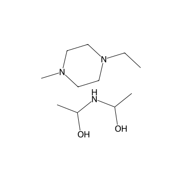 CC(O)NC(C)O.CCN1CCN(C)CC1